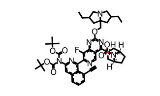 C#Cc1cccc2cc(N(C(=O)OC(C)(C)C)C(=O)OC(C)(C)C)nc(-c3ncc4c(N5C[C@H]6CC[C@@H](C5)N6C(=O)O)nc(OCC56CC(CC)CN5CC(CC)C6)nc4c3F)c12